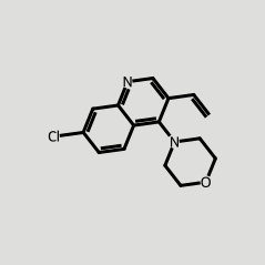 C=Cc1cnc2cc(Cl)ccc2c1N1CCOCC1